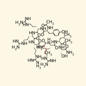 CC(=O)N[C@@H](Cc1ccc(O)cc1)C(=O)N[C@@H](CCCNC(=N)N)C(=O)N[C@@H](CCCNC(=N)N)C(=O)N[C@@H](CCCNC(=N)N)C(=O)N[C@@H](CCCNC(=N)N)C(=O)N[C@@H](CC(C)C)C(=O)N[C@@H](CC(C)C)C(=O)N[C@@H](CO)C(N)=O